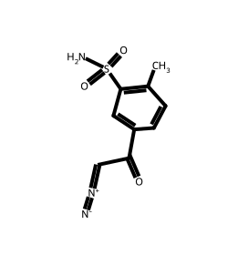 Cc1ccc(C(=O)C=[N+]=[N-])cc1S(N)(=O)=O